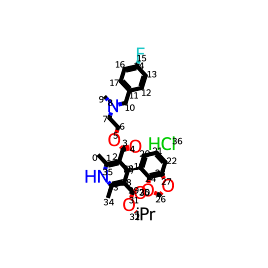 CC1=C(C(=O)OCCN(C)Cc2ccc(F)cc2)[C@@H](c2cccc3c2OCO3)C(C(=O)OC(C)C)=C(C)N1.Cl